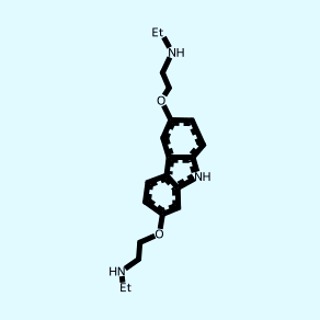 CCNCCOc1ccc2c(c1)[nH]c1ccc(OCCNCC)cc12